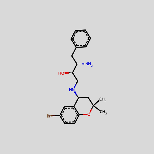 CC1(C)C[C@H](NC[C@@H](O)[C@@H](N)Cc2ccccc2)c2cc(Br)ccc2O1